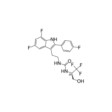 O=C(NCCc1c(-c2ccc(F)cc2)[nH]c2c(F)cc(F)cc12)N[C@H](CO)C(F)(F)F